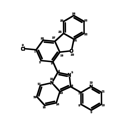 Clc1cc(-c2nc(-c3ccccn3)c3ccccn23)c2oc3ccccc3c2c1